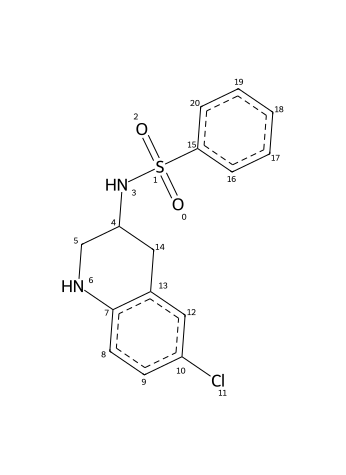 O=S(=O)(NC1CNc2ccc(Cl)cc2C1)c1ccccc1